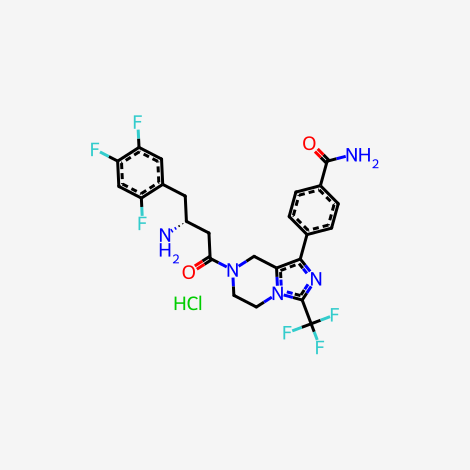 Cl.NC(=O)c1ccc(-c2nc(C(F)(F)F)n3c2CN(C(=O)C[C@H](N)Cc2cc(F)c(F)cc2F)CC3)cc1